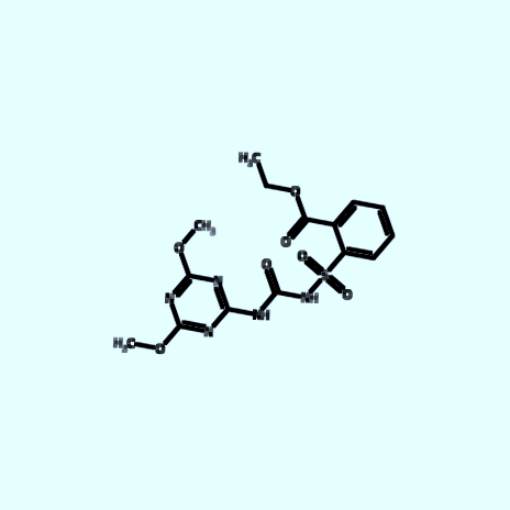 CCOC(=O)c1ccccc1S(=O)(=O)NC(=O)Nc1nc(OC)nc(OC)n1